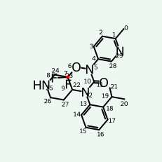 Cc1ccc(N(OC(F)F)C(=O)N(c2ccccc2C(C)C)C2CCNCC2)cn1